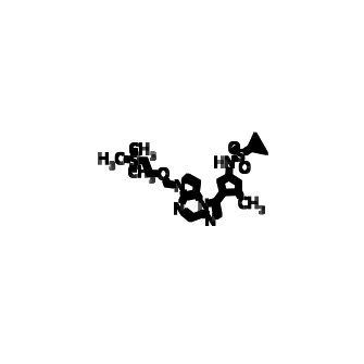 CC1CC(NS(=O)(=O)C2CC2)CC1c1cnc2cnc3c(ccn3COCC[Si](C)(C)C)n12